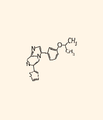 CC(C)Oc1cccc(-c2cnc3cnc(-c4cccs4)cn23)c1